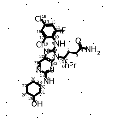 CCC[C@H](CCC(N)=O)n1c(Nc2c(F)cc(Cl)cc2Cl)nc2cnc(N[C@H]3CCCC(O)C3)nc21